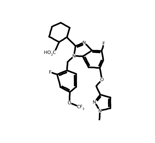 Cn1ccc(COc2cc(F)c3nc(C4CCCCC4C(=O)O)n(Cc4ccc(OC(F)(F)F)cc4F)c3c2)n1